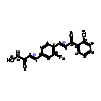 O=C(/C=C/c1ccc(/C=C/C(=O)c2ccccc2Cl)c(F)c1)NO